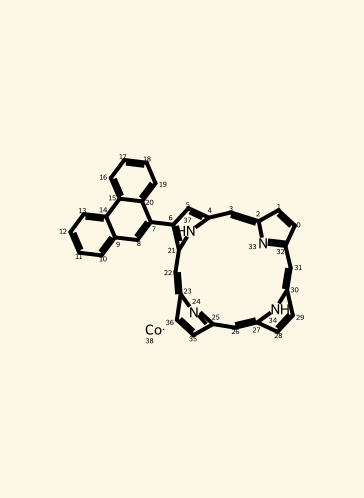 C1=Cc2cc3cc(-c4cc5ccccc5c5ccccc45)c(cc4nc(cc5ccc(cc1n2)[nH]5)C=C4)[nH]3.[Co]